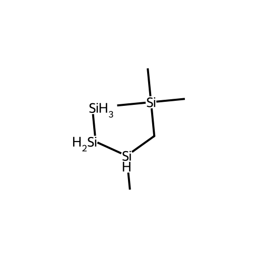 C[SiH](C[Si](C)(C)C)[SiH2][SiH3]